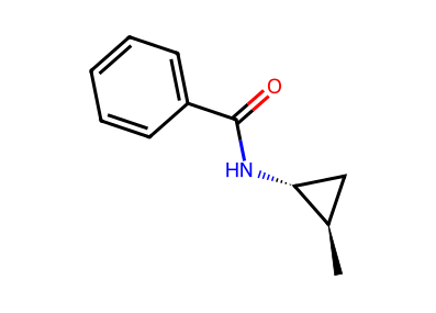 C[C@@H]1C[C@H]1NC(=O)c1ccccc1